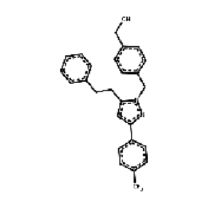 OCc1ccc(Cn2nc(-c3ccc(C(F)(F)F)cc3)cc2CCc2ccccc2)cc1